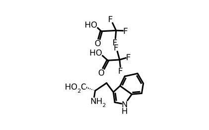 N[C@@H](Cc1c[nH]c2ccccc12)C(=O)O.O=C(O)C(F)(F)F.O=C(O)C(F)(F)F